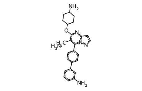 Cc1c(OC2CCC(N)CC2)nc2ccnn2c1-c1ccc(-c2cccc(N)c2)cc1.N